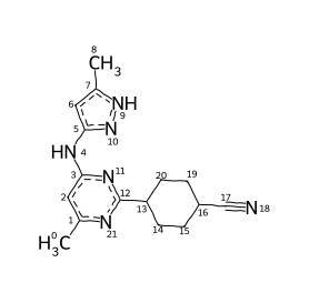 Cc1cc(Nc2cc(C)[nH]n2)nc(C2CCC(C#N)CC2)n1